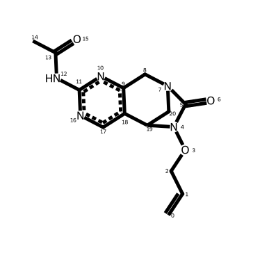 C=CCON1C(=O)N2Cc3nc(NC(C)=O)ncc3C1C2